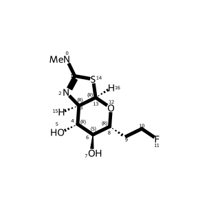 CNC1=N[C@@H]2[C@@H](O)[C@H](O)[C@@H](CCF)O[C@@H]2S1